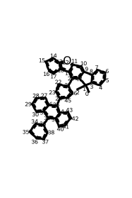 CC1(C)c2ccccc2-c2cc3oc4ccccc4c3c(-c3ccc(-c4c5ccccc5c(-c5ccccc5)c5ccccc45)cc3)c21